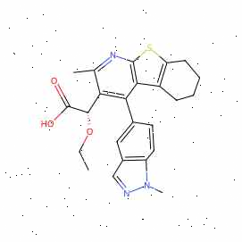 CCO[C@H](C(=O)O)c1c(C)nc2sc3c(c2c1-c1ccc2c(cnn2C)c1)CCCC3